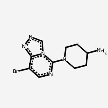 NC1CCN(c2ncc(Br)c3nncn23)CC1